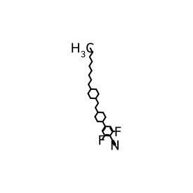 CCCCCCCCCC1CCC(CCC2CCC(c3cc(F)c(C#N)c(F)c3)CC2)CC1